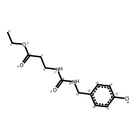 CCOC(=O)CCNC(=O)NCc1[c]cc(Cl)cc1